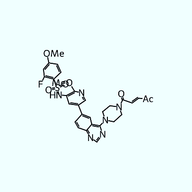 COc1ccc(S(=O)(=O)Nc2cc(-c3ccc4ncnc(N5CCN(C(=O)/C=C/C(C)=O)CC5)c4c3)cnc2OC)c(F)c1